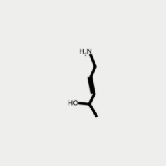 CC(O)C=CCN